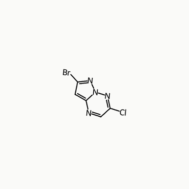 Clc1cnc2cc(Br)nn2n1